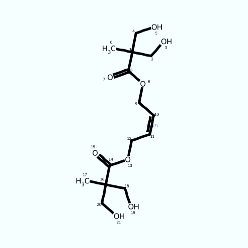 CC(CO)(CO)C(=O)OC/C=C\COC(=O)C(C)(CO)CO